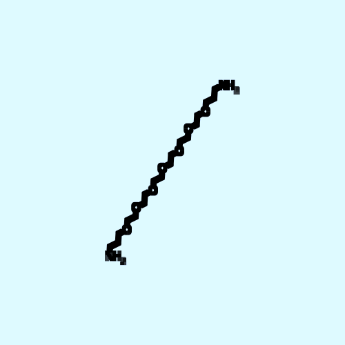 NCCCOCCOCCOCCOCCOCCOCCOCCCN